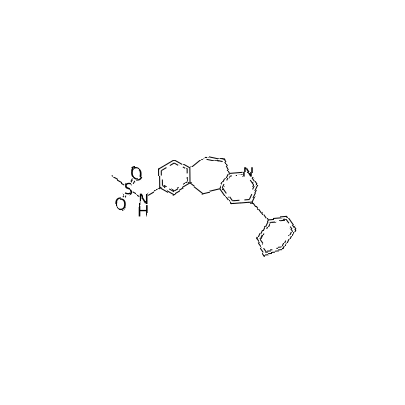 CS(=O)(=O)Nc1ccc2c(c1)Cc1cc(-c3ccccc3)cnc1C=C2